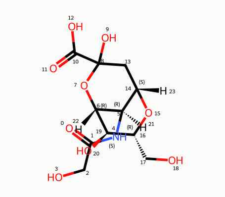 O=C(CO)N[C@H]1[C@H]2OC(O)(C(=O)O)C[C@@H]1O[C@H](CO)[C@H]2O